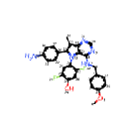 COc1ccc(CNc2ncnc3c(C)c(-c4ccc(N)cc4)n(-c4cc(F)c(O)cc4F)c23)cc1